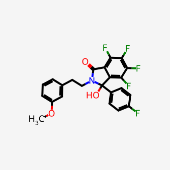 COc1cccc(CCN2C(=O)c3c(F)c(F)c(F)c(F)c3C2(O)c2ccc(F)cc2)c1